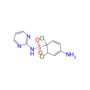 NC1=CC(Cl)C(Cl)(S(=O)(=O)Nc2ncccn2)C=C1